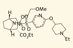 CCOC(=O)[C@@H]1[C@@H]2CC[C@H](CN1S(=O)(=O)c1ccc(OC3CCN(CC)CC3)nc1)N2C(=O)OCCOC